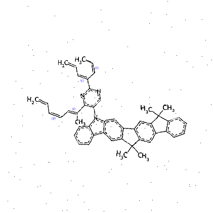 C=C/C=C\C=C(/C)c1nc(C(/C=C\C)=C/C=C)ncc1-n1c2ccccc2c2cc3c(cc21)-c1cc2c(cc1C3(C)C)-c1ccccc1C2(C)C